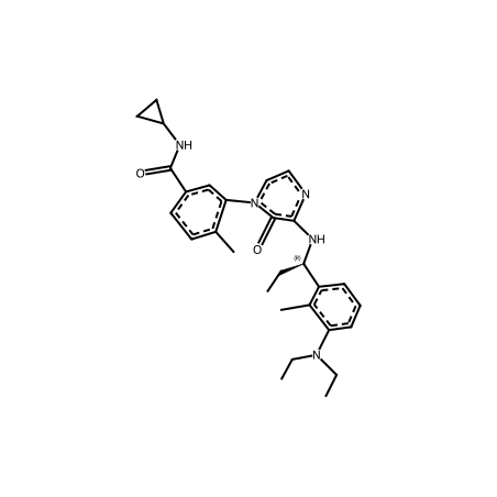 CC[C@@H](Nc1nccn(-c2cc(C(=O)NC3CC3)ccc2C)c1=O)c1cccc(N(CC)CC)c1C